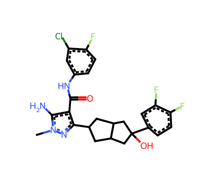 Cn1nc(C2CC3CC(O)(c4ccc(F)c(F)c4)CC3C2)c(C(=O)Nc2ccc(F)c(Cl)c2)c1N